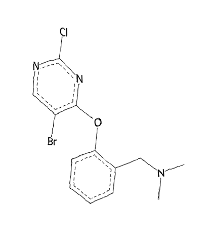 CN(C)Cc1ccccc1Oc1nc(Cl)ncc1Br